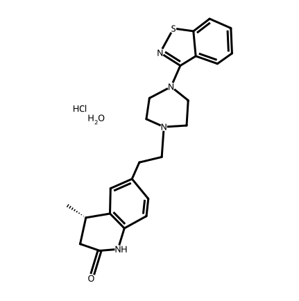 C[C@H]1CC(=O)Nc2ccc(CCN3CCN(c4nsc5ccccc45)CC3)cc21.Cl.O